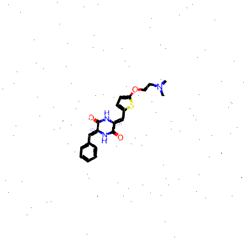 CN(C)CCOc1ccc(/C=c2\[nH]c(=O)/c(=C/c3ccccc3)[nH]c2=O)s1